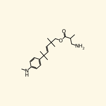 CNc1ccc(C(C)(C)/C=C/C(C)(C)COC(=O)C(C)CN)cc1